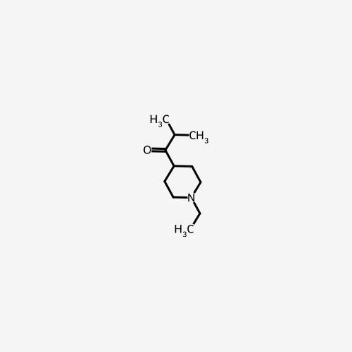 CCN1CCC(C(=O)C(C)C)CC1